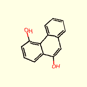 Oc1cc2ccccc2c2c(O)cccc12